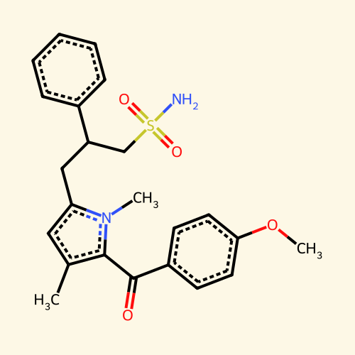 COc1ccc(C(=O)c2c(C)cc(CC(CS(N)(=O)=O)c3ccccc3)n2C)cc1